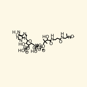 CO/N=C(\C)CNC(=O)CCNC(=O)C(O)C(C)(C)COP(=O)(O)OP(=O)(O)OCC1OC(n2cnc3c(N)ncnc32)[C@@H](O)C1OP(=O)(O)O